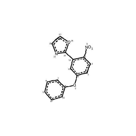 O=[N+]([O-])c1ccc(Oc2ccccc2)cc1-c1ncco1